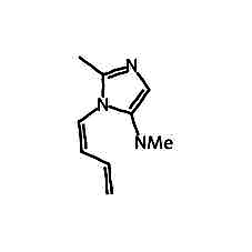 C=C/C=C\n1c(NC)cnc1C